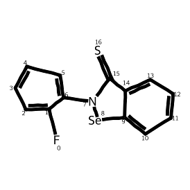 Fc1ccccc1-n1[se]c2ccccc2c1=S